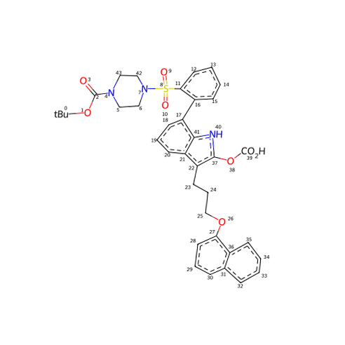 CC(C)(C)OC(=O)N1CCN(S(=O)(=O)c2ccccc2-c2cccc3c(CCCOc4cccc5ccccc45)c(OC(=O)O)[nH]c23)CC1